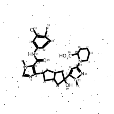 Cn1cnc(C2CC3CC(O)(c4cc(N5CCCCC5C(=O)O)nn4C)CC3C2)c1C(=O)Nc1ccc(F)c(Cl)c1